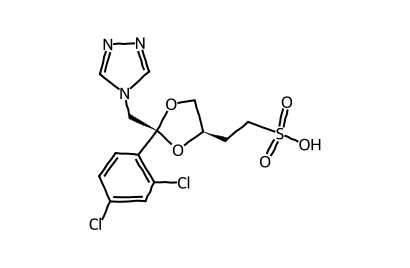 O=S(=O)(O)CC[C@@H]1CO[C@@](Cn2cnnc2)(c2ccc(Cl)cc2Cl)O1